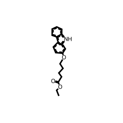 CCOC(=O)CCCCOc1ccc2c(c1)[nH]c1ccccc12